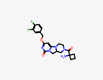 NC1(C(=O)N2CCN3c4cc(OCc5ccc(F)c(F)c5)nc(=O)n4CC3C2)CCC1